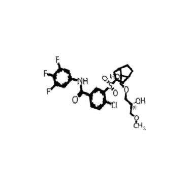 COC[C@@H](O)COCC1(O)C2CCC1CC(S(=O)(=O)c1cc(C(=O)Nc3cc(F)c(F)c(F)c3)ccc1Cl)C2